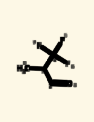 CC([C]=O)C(F)(F)F